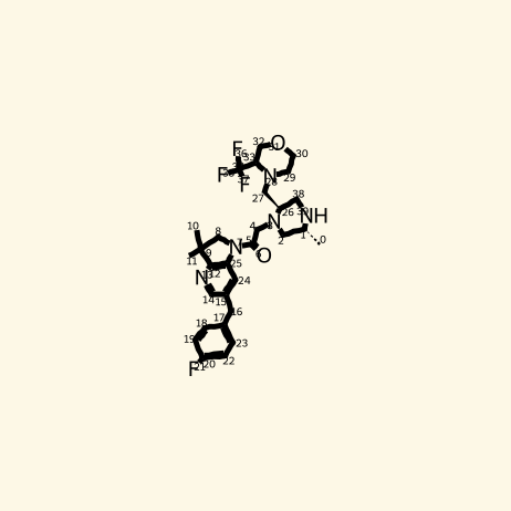 C[C@@H]1CN(CC(=O)N2CC(C)(C)c3ncc(Cc4ccc(F)cc4)cc32)[C@@H](CN2CCOCC2C(F)(F)F)CN1